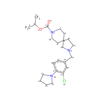 O=C(OC(C(F)(F)F)C(F)(F)F)N1CCC2(CCN(Cc3ccc(N4CCCC4)c(Cl)c3)C2)CC1